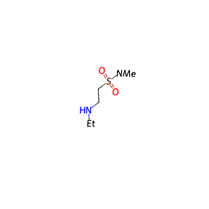 CCNCCS(=O)(=O)NC